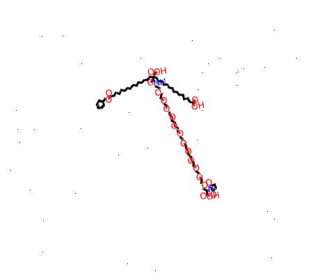 O=C(O)CCCCCCCCCCCCCCC(CCCCCCCCCCCCCCC(=O)OCc1ccccc1)(C(=O)O)C(=O)NCCOCCOCCOCCOCCOCCOCCOCCOCCOCCOCCOCCOCC(C(=O)O)N1C(=O)CCC1=O